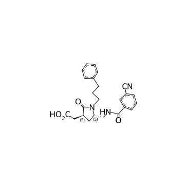 N#Cc1cccc(C(=O)NC[C@@H]2C[C@@H](CC(=O)O)C(=O)N2CCCc2ccccc2)c1